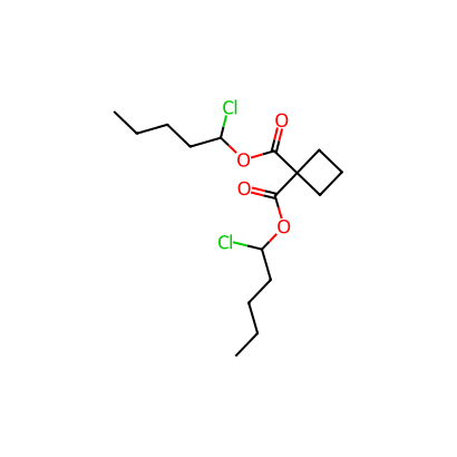 CCCCC(Cl)OC(=O)C1(C(=O)OC(Cl)CCCC)CCC1